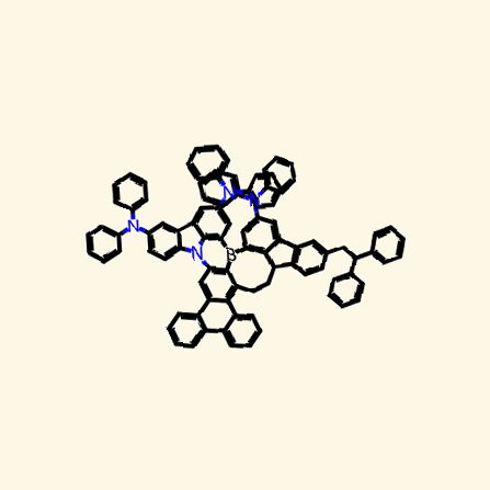 c1ccc(C(Cc2ccc3c(c2)-c2cc(N(c4ccccc4)c4ccccc4)cc4c2C3CCc2c3c(cc5c6ccccc6c6ccccc6c25)-n2c5ccc(N(c6ccccc6)c6ccccc6)cc5c5cc(N(c6ccccc6)c6ccccc6)cc(c52)B43)c2ccccc2)cc1